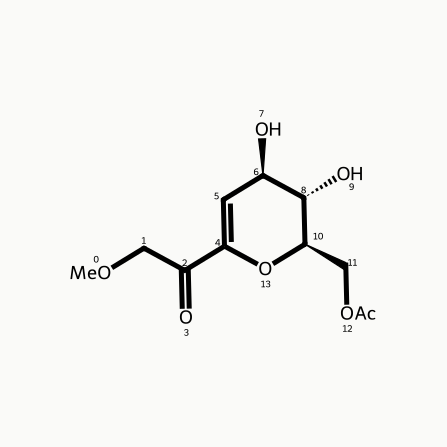 COCC(=O)C1=C[C@@H](O)[C@H](O)[C@@H](COC(C)=O)O1